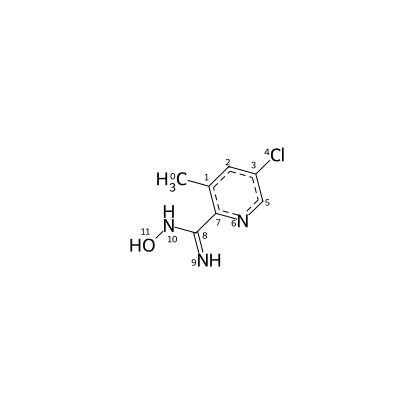 Cc1cc(Cl)cnc1C(=N)NO